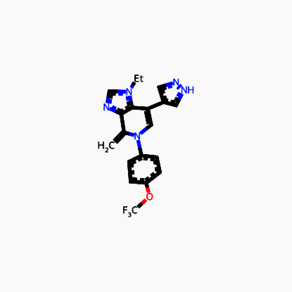 C=C1c2ncn(CC)c2C(c2cn[nH]c2)=CN1c1ccc(OC(F)(F)F)cc1